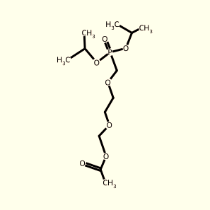 CC(=O)OCOCCOCP(=O)(OC(C)C)OC(C)C